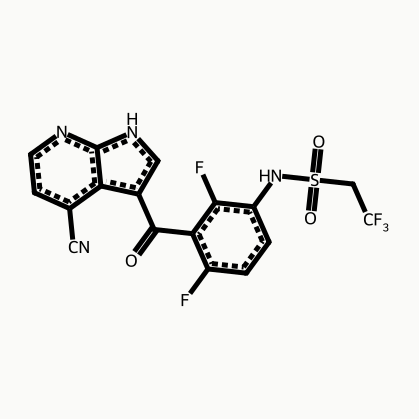 N#Cc1ccnc2[nH]cc(C(=O)c3c(F)ccc(NS(=O)(=O)CC(F)(F)F)c3F)c12